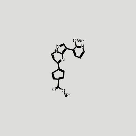 COc1ncccc1-c1cnn2ccc(-c3ccc(C(=O)OC(C)C)cc3)nc12